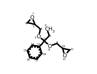 CCC(OCC1CO1)(OCC1CO1)c1ccccc1